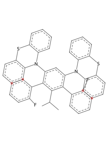 CC(C)c1c(-c2ccccc2F)c(N2c3ccccc3Sc3ccccc32)cc(N2c3ccccc3Sc3ccccc32)c1-c1ccccc1F